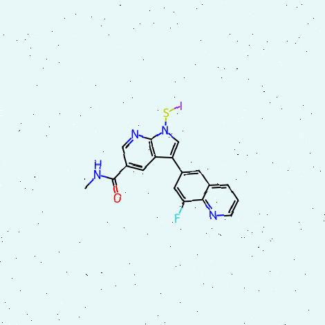 CNC(=O)c1cnc2c(c1)c(-c1cc(F)c3ncccc3c1)cn2SI